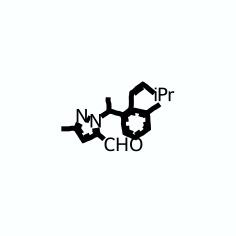 Cc1cc(C=O)n(C(C)c2cccc(C)c2/C=C\C(C)C)n1